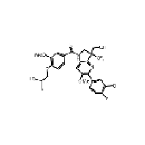 COc1cc(C(=O)NCC(CO)(c2ccc(OC)c(-c3ccc(F)c(Cl)c3)n2)C(F)(F)F)ccc1OC[C@@H](C)O